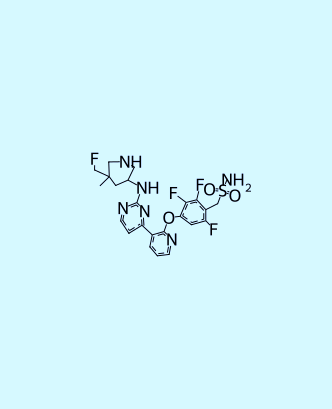 CC1(CF)CNCC(Nc2nccc(-c3cccnc3Oc3cc(F)c(CS(N)(=O)=O)c(F)c3F)n2)C1